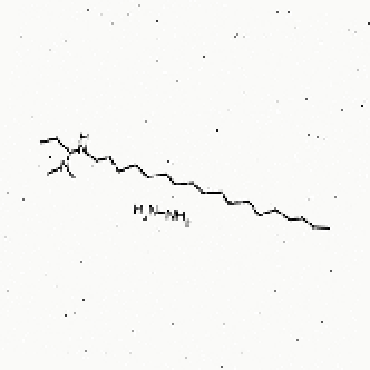 CCCCCCCCCCCCCCCCCCNC(CC)N(C)C.NN